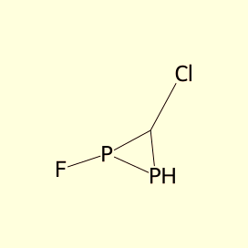 FP1PC1Cl